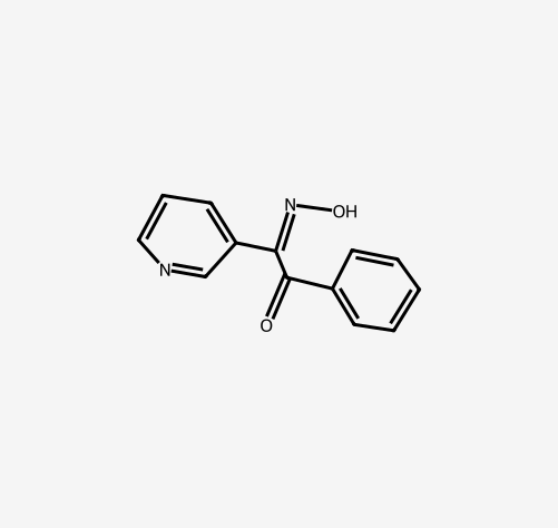 O=C(C(=NO)c1cccnc1)c1ccccc1